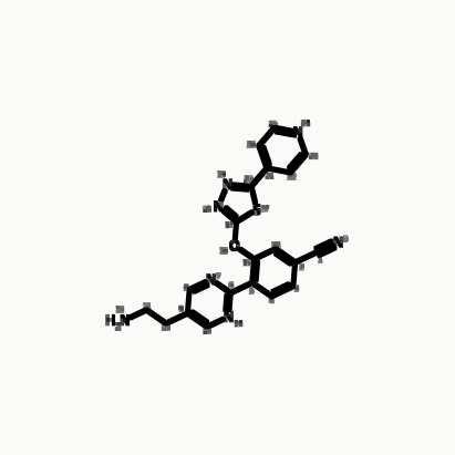 N#Cc1ccc(-c2ncc(CCN)cn2)c(Oc2nnc(-c3ccncc3)s2)c1